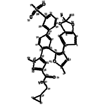 Cc1nc(-c2ccc3c(c2)OC(F)(F)O3)c(-c2cc(-c3cccc(S(C)(=O)=O)c3)ccc2-c2cc(C(=O)NCC3CC3)nn2C)o1